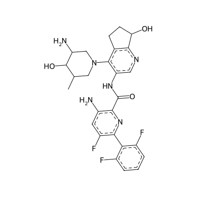 CC1CN(c2c(NC(=O)c3nc(-c4c(F)cccc4F)c(F)cc3N)cnc3c2CCC3O)CC(N)C1O